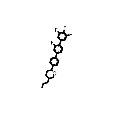 CCCC1CCC(c2ccc(-c3ccc(-c4cc(F)c(F)c(F)c4)c(F)c3)cc2)OC1